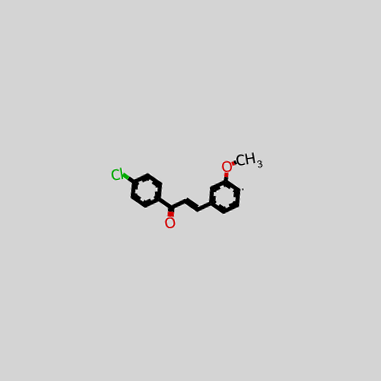 COc1[c]ccc(/C=C/C(=O)c2ccc(Cl)cc2)c1